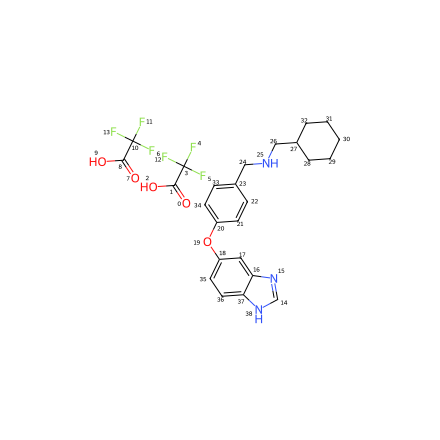 O=C(O)C(F)(F)F.O=C(O)C(F)(F)F.c1nc2cc(Oc3ccc(CNCC4CCCCC4)cc3)ccc2[nH]1